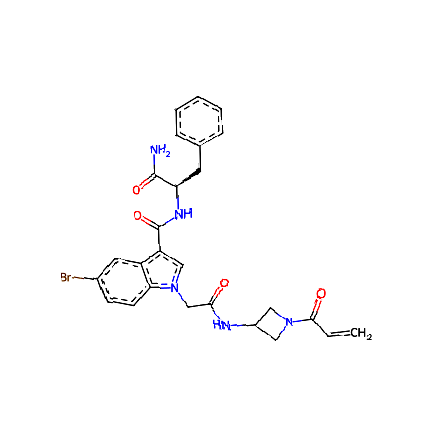 C=CC(=O)N1CC(NC(=O)Cn2cc(C(=O)N[C@H](Cc3ccccc3)C(N)=O)c3cc(Br)ccc32)C1